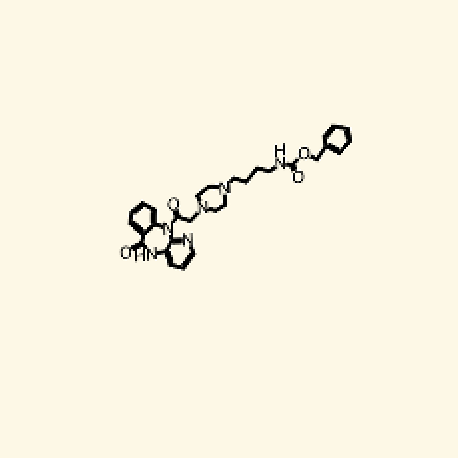 O=C(NCCCCN1CCN(CC(=O)N2c3ccccc3C(=O)Nc3cccnc32)CC1)OCc1ccccc1